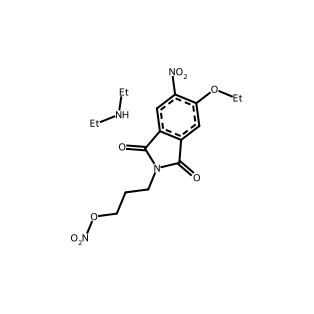 CCNCC.CCOc1cc2c(cc1[N+](=O)[O-])C(=O)N(CCCO[N+](=O)[O-])C2=O